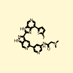 CN(C)CC(=O)Nc1cncc(-c2cc3c(-c4nc5c(-c6ccc(F)s6)cncc5[nH]4)n[nH]c3cn2)c1